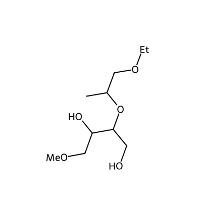 CCOCC(C)OC(CO)C(O)COC